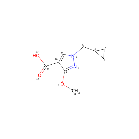 COc1nn(CC2CC2)cc1C(=O)O